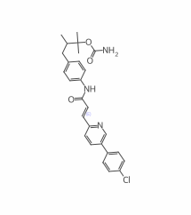 CC(Cc1ccc(NC(=O)/C=C/c2ccc(-c3ccc(Cl)cc3)cn2)cc1)C(C)(C)OC(N)=O